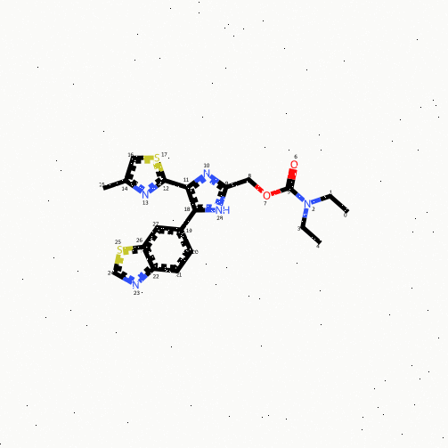 CCN(CC)C(=O)OCc1nc(-c2nc(C)cs2)c(-c2ccc3ncsc3c2)[nH]1